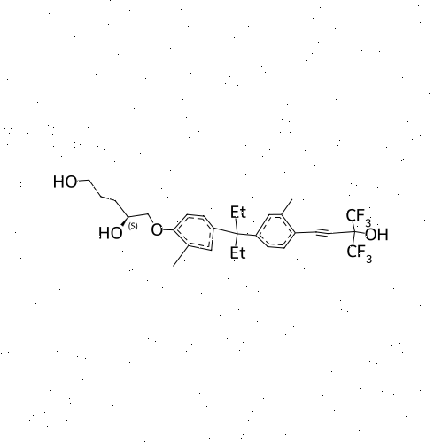 CCC(CC)(c1ccc(C#CC(O)(C(F)(F)F)C(F)(F)F)c(C)c1)c1ccc(OC[C@@H](O)CCCO)c(C)c1